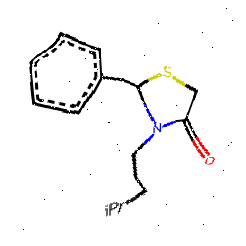 CC(C)CCN1C(=O)CSC1c1ccccc1